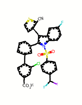 N#Cc1sccc1-c1c(-c2cccc(-c3ccc(C(=O)O)cc3Cl)c2)n(S(=O)(=O)c2ccc(C(F)I)cc2)c2ccc(F)cc12